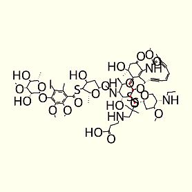 CC#C/C=C\C#C[C@H](O[C@@H]1O[C@H](C)[C@@H](NO[C@H]2C[C@H](O)[C@H](SC(=O)c3c(C)c(I)c(O[C@@H]4O[C@@H](C)[C@H](O)[C@@H](OC)[C@H]4O)c(OC)c3OC)[C@@H](C)O2)[C@@H](O)[C@H]1O[C@H]1C[C@H](OC)[C@@H](NCC)CO1)C1=C(NC(=O)OC)C(=O)C[C@](C)(O)/C1=C/CSSC(C)(C)CNCCC(=O)O